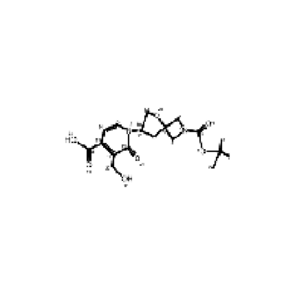 CC(C)(C)OC(=O)N1CC2(C[C@@H](n3ccc(C(=O)O)c(CO)c3=O)CO2)C1